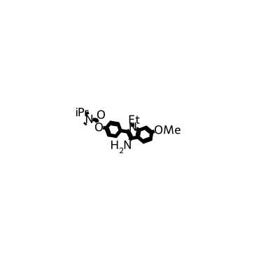 CCn1c(C2C=CC(OC(=O)N(C)C(C)C)=CC2)c(N)c2ccc(OC)cc21